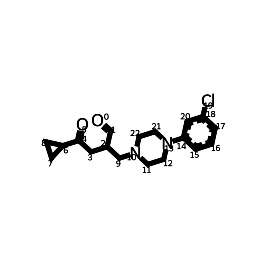 O=CC(CC(=O)C1CC1)CN1CCN(c2cccc(Cl)c2)CC1